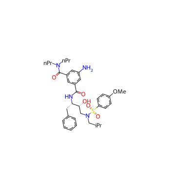 CCCN(CCC)C(=O)c1cc(N)cc(C(=O)N[C@@H](Cc2ccccc2)[C@H](O)CN(CC(C)C)S(=O)(=O)c2ccc(OC)cc2)c1